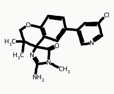 CN1C(=O)C2(N=C1N)c1cc(-c3cncc(Cl)c3)ccc1OCC2(C)C